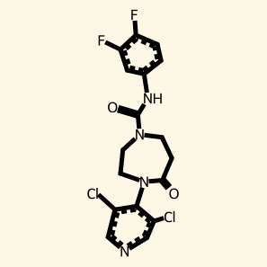 O=C(Nc1ccc(F)c(F)c1)N1CCC(=O)N(c2c(Cl)cncc2Cl)CC1